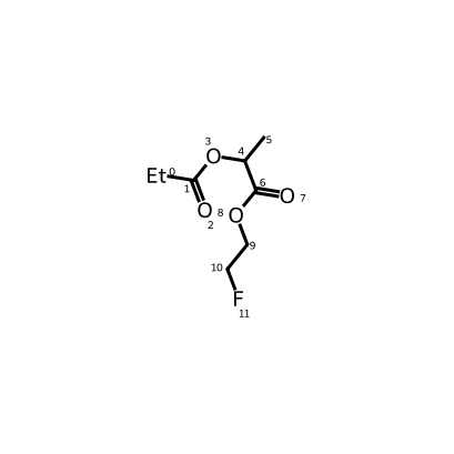 CCC(=O)OC(C)C(=O)OCCF